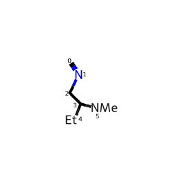 C=NCC(CC)NC